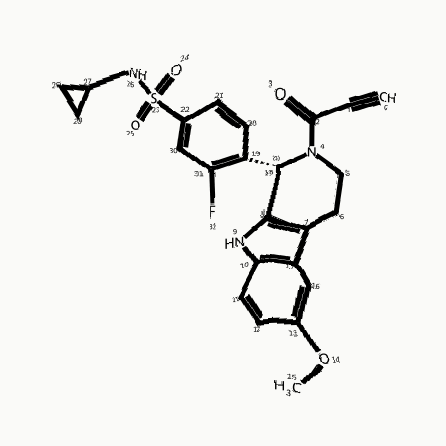 C#CC(=O)N1CCc2c([nH]c3ccc(OC)cc23)[C@@H]1c1ccc(S(=O)(=O)NC2CC2)cc1F